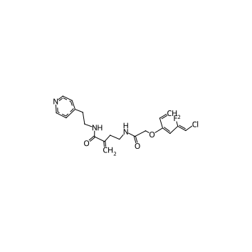 C=C/C(=C\C(F)=C\Cl)OCC(=O)NCCC(=C)C(=O)NCCc1ccncc1